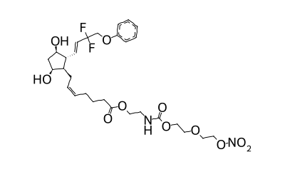 O=C(CCC/C=C\C[C@@H]1[C@@H](/C=C/C(F)(F)COc2ccccc2)[C@H](O)C[C@@H]1O)OCCNC(=O)OCCOCCO[N+](=O)[O-]